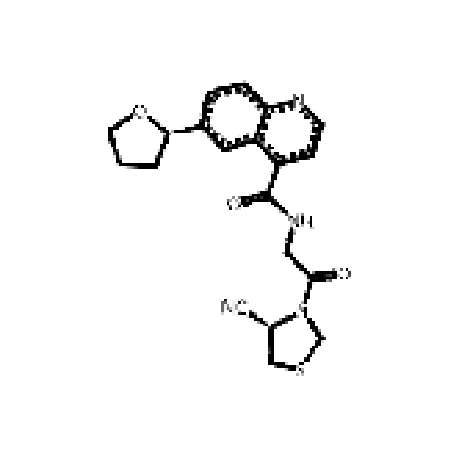 N#C[C@@H]1CSCN1C(=O)CNC(=O)c1ccnc2ccc([C@H]3CCCO3)cc12